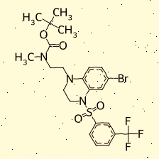 CN(CCN1CCN(S(=O)(=O)c2cccc(C(F)(F)F)c2)c2cc(Br)ccc21)C(=O)OC(C)(C)C